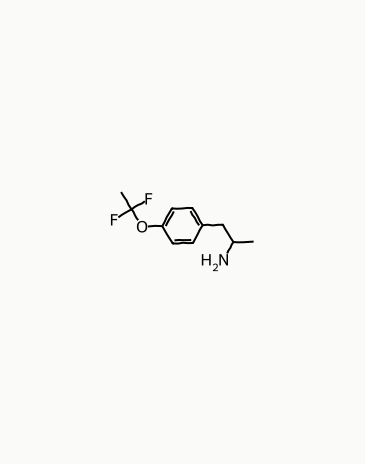 CC(N)Cc1ccc(OC(C)(F)F)cc1